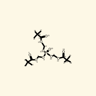 CC(C)(C)C(=O)OCOP(=O)(OCOC(=O)C(C)(C)C)OCOC(=O)C(C)(C)C